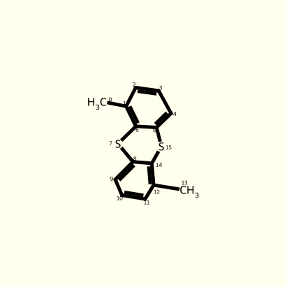 Cc1cccc2c1Sc1cccc(C)c1S2